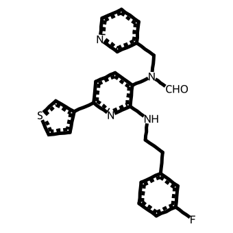 O=CN(Cc1cccnc1)c1ccc(-c2ccsc2)nc1NCCc1cccc(F)c1